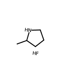 CC1CCCN1.F